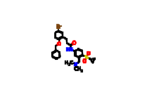 CN(C)Cc1cc(NC(=O)CCc2cc(Br)ccc2OCc2ccccc2)ccc1S(=O)(=O)C1CC1